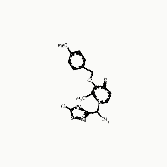 COc1ccc(COc2c(C)n(C(C)c3nsc(S)n3)ccc2=O)cc1